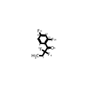 CCC(F)(F)C(=O)c1ccc(F)cc1F